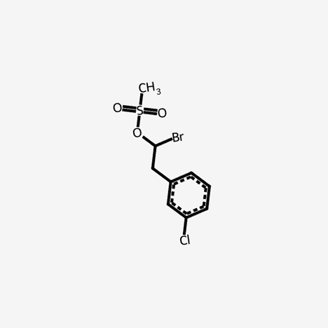 CS(=O)(=O)OC(Br)Cc1cccc(Cl)c1